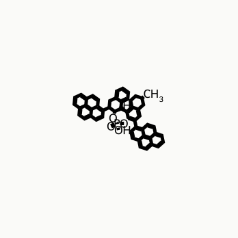 CC1CCc2c(cc(-c3ccc4ccc5cccc6ccc3c4c56)c3c2[C@H]2c4ccccc4CC(c4ccc5ccc6cccc7ccc4c5c67)C2OP(=O)(O)O3)C1